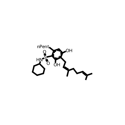 CCCCCc1cc(O)c(CC=C(C)CCC=C(C)C)c(O)c1S(=O)(=O)NC1CCCCC1